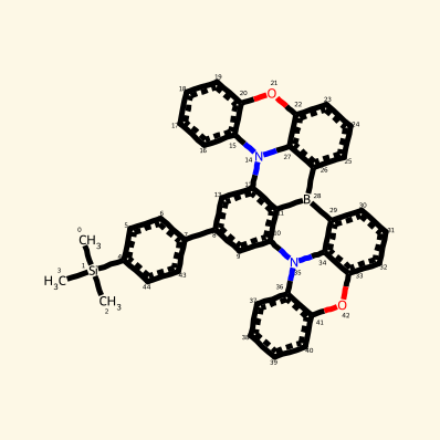 C[Si](C)(C)c1ccc(-c2cc3c4c(c2)N2c5ccccc5Oc5cccc(c52)B4c2cccc4c2N3c2ccccc2O4)cc1